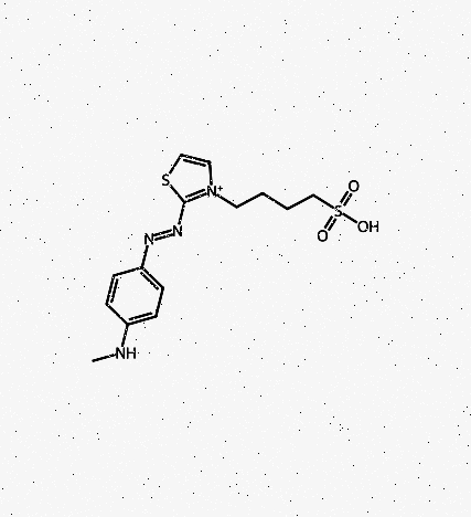 CNc1ccc(/N=N/c2scc[n+]2CCCCS(=O)(=O)O)cc1